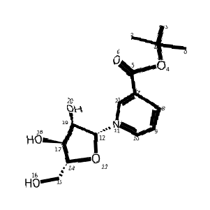 CC(C)(C)OC(=O)c1ccc[n+]([C@@H]2O[C@H](CO)[C@@H](O)[C@H]2O)c1